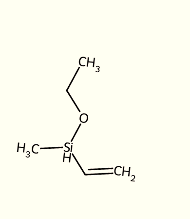 C=C[SiH](C)OCC